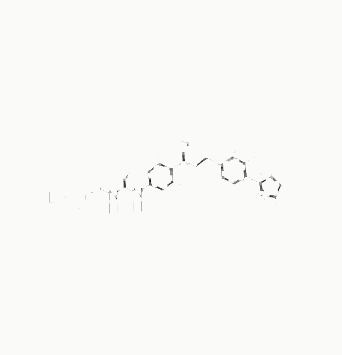 CCOC(=O)CNC(=O)Nc1ccc(C(=O)C=Cc2ccc(-c3cccs3)cc2)cc1